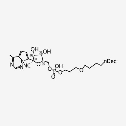 CCCCCCCCCCCCCCOCCCOP(=O)(O)OC[C@H]1O[C@@](C#N)(c2ccc3c(C)ncnn23)[C@H](O)[C@@H]1O